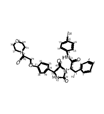 C[C@@H](c1ccccc1)[C@@H](C(=O)Nc1ccc(I)cc1)N1C(=O)NC(c2ccc(OCC(=O)N3CCOCC3)cc2)C1=O